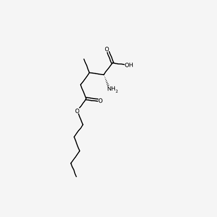 CCCCCOC(=O)CC(C)[C@@H](N)C(=O)O